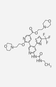 CCNC(=O)Nc1cc(-c2nc(C(F)(F)F)cs2)c(-c2cc(C(=O)OCCN3CCOCC3)cnc2OCCN2CCOCC2)cn1